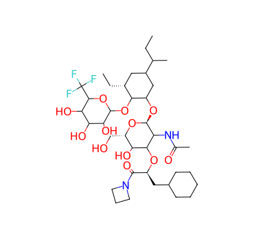 CCC(C)C1CC(O[C@@H]2O[C@@H](CO)C(O)C(O[C@@H](CC3CCCCC3)C(=O)N3CCC3)C2NC(C)=O)C(OC2OC(C(F)(F)F)C(O)C(O)C2O)[C@H](CC)C1